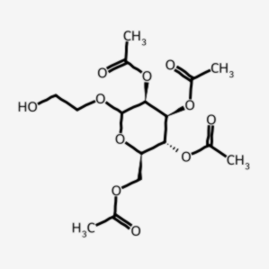 CC(=O)OC[C@H]1OC(OCCO)[C@@H](OC(C)=O)[C@@H](OC(C)=O)[C@@H]1OC(C)=O